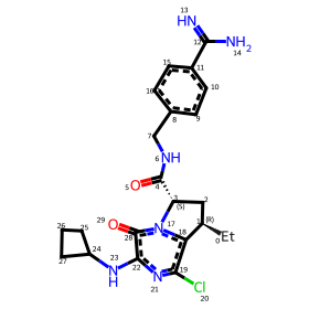 CC[C@@H]1C[C@@H](C(=O)NCc2ccc(C(=N)N)cc2)n2c1c(Cl)nc(NC1CCC1)c2=O